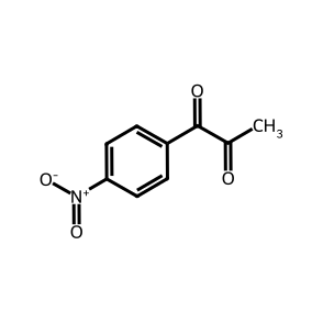 CC(=O)C(=O)c1ccc([N+](=O)[O-])cc1